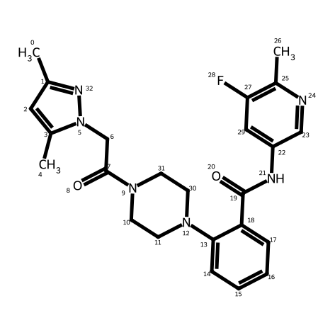 Cc1cc(C)n(CC(=O)N2CCN(c3ccccc3C(=O)Nc3cnc(C)c(F)c3)CC2)n1